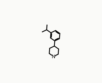 CC(C)c1cccc(C2CC[N]CC2)c1